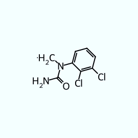 [CH2]N(C(N)=O)c1cccc(Cl)c1Cl